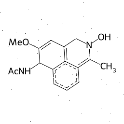 COC1=CC2=c3c(cccc3=C(C)N(O)C2)C1NC(C)=O